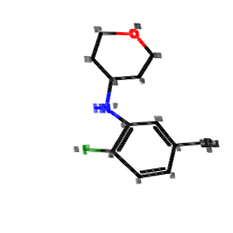 CC(C)(C)c1ccc(F)c(NC2CCOCC2)c1